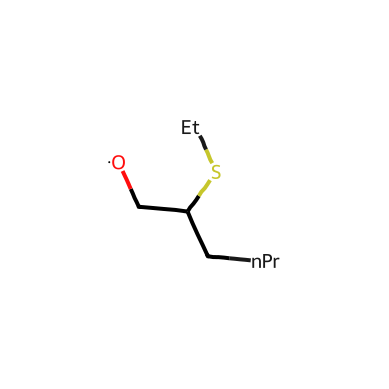 CCCCC(C[O])SCC